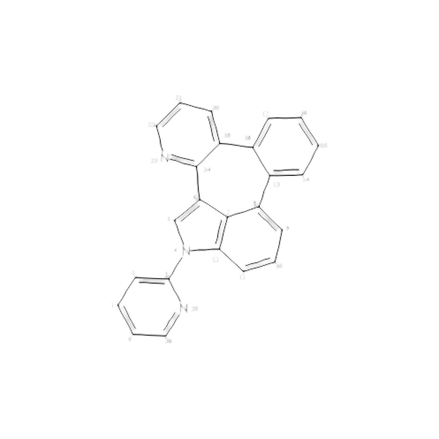 c1ccc(-n2cc3c4c(cccc42)-c2ccccc2-c2cccnc2-3)nc1